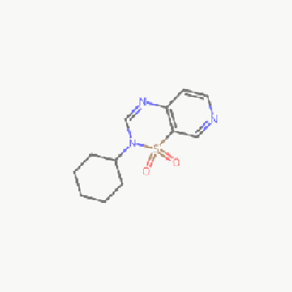 O=S1(=O)c2cnccc2N=CN1C1CCCCC1